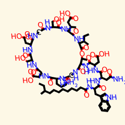 CCC(C)CCCCCCCCC(=O)NC(Cc1c[nH]c2ccccc12)C(=O)NC(CC(N)=O)C(=O)NC(CC(=O)O)C(=O)NC1C(=O)NCC(=O)NC(CCCN)C(=O)NC(CC(=O)O)C(=O)NC(CO)C(=O)NC(CC(=O)O)C(=O)NCC(=O)NC(CO)C(=O)NC(C(C)CC(=O)O)C(=O)NC(C(C)CC)C(=O)OC1C